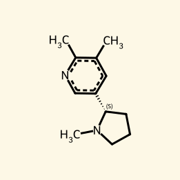 Cc1cc([C@@H]2CCCN2C)cnc1C